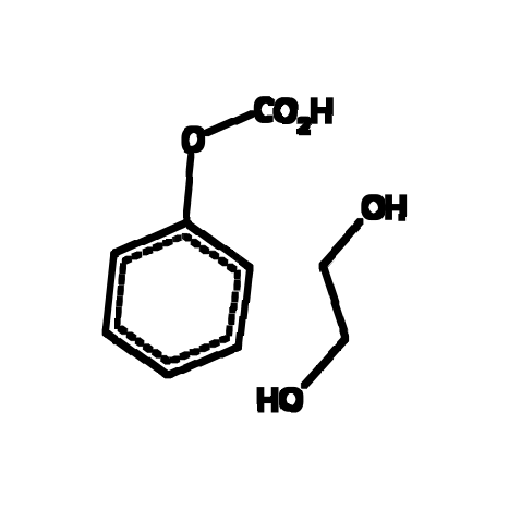 O=C(O)Oc1ccccc1.OCCO